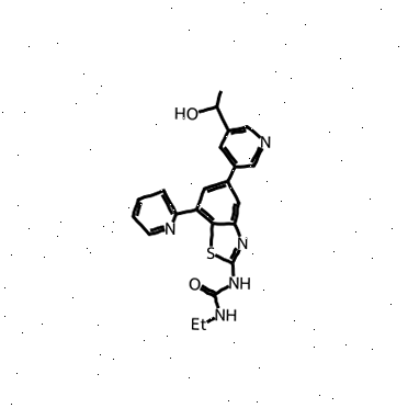 CCNC(=O)Nc1nc2cc(-c3cncc(C(C)O)c3)cc(-c3ccccn3)c2s1